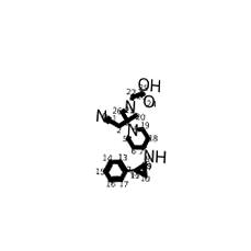 N#CCC1(N2CCC(N[C@@H]3C[C@H]3c3ccccc3)CC2)CN(CC(=O)O)C1